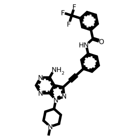 CN1CCC(n2nc(C#Cc3cccc(NC(=O)c4cccc(C(F)(F)F)c4)c3)c3c(N)ncnc32)CC1